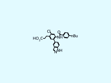 CCCCc1ccc(C(=O)Nc2cc(Cl)c(CCC(=O)O)cc2-c2ccc3[nH]ncc3c2)cc1